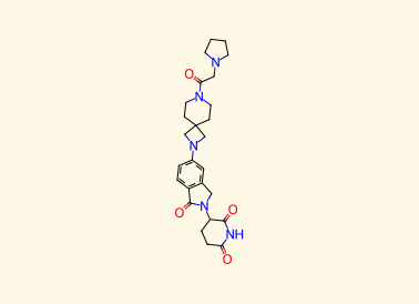 O=C1CCC(N2Cc3cc(N4CC5(CCN(C(=O)CN6CCCC6)CC5)C4)ccc3C2=O)C(=O)N1